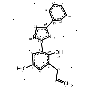 C=CCc1cc(C)cc(-n2ncc(-c3ccccc3)n2)c1O